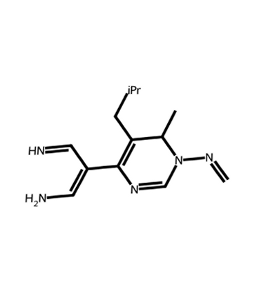 C=NN1C=NC(/C(C=N)=C/N)=C(CC(C)C)C1C